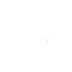 CCCCCCCCCCCCCCCCCCC1N(CCCCCCCCCCC)C=CN1CCCCCCCCCCCC